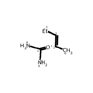 CC=CCC.NC(N)=O